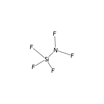 FN(F)[Si](F)(F)F